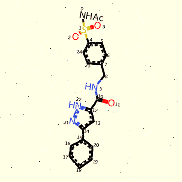 CC(=O)NS(=O)(=O)c1ccc(CNC(=O)c2cc(-c3ccccc3)n[nH]2)cc1